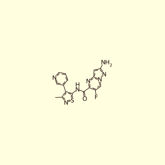 Cc1nsc(NC(=O)c2nc3cc(N)nn3cc2F)c1-c1cccnc1